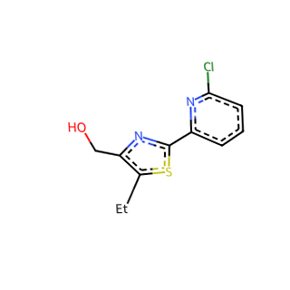 CCc1sc(-c2cccc(Cl)n2)nc1CO